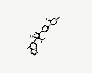 Cc1cc(-c2[nH]nc(-c3ccc(N4CCN(C)CC4=O)cc3)c2C(C)C)cn2ncnc12